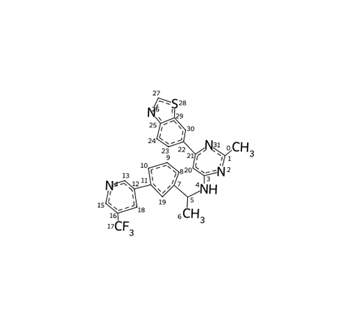 Cc1nc(NC(C)c2cccc(-c3cncc(C(F)(F)F)c3)c2)cc(-c2ccc3ncsc3c2)n1